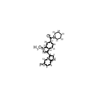 Cn1nc(-c2cnc3ccc(F)cn23)c2ccc(C(=O)N3CCCCC3)cc21